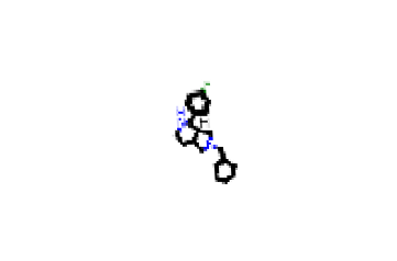 Fc1ccc(C2NCCC3CN(Cc4ccccc4)C[C@H]32)cc1